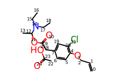 C=CCOc1ccc(CC(=O)OC(C)N(CC)CC)cc1Cl.CC(=O)O